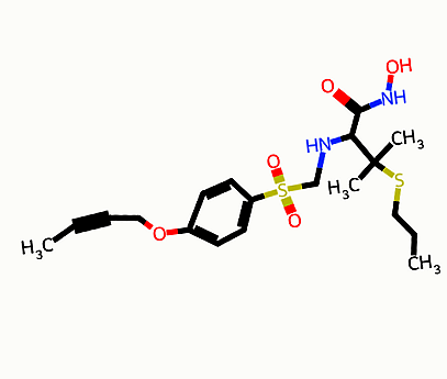 CC#CCOc1ccc(S(=O)(=O)CNC(C(=O)NO)C(C)(C)SCCC)cc1